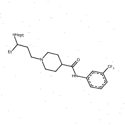 CCCCCCCC(CC)CCN1CCC(C(=O)Nc2cccc(C(F)(F)F)c2)CC1